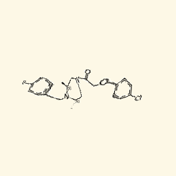 C[C@H]1CN(C(=O)COc2ccc(Cl)cc2)C[C@H](C)N1Cc1ccc(F)cc1